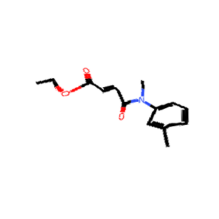 CCOC(=O)/C=C/C(=O)N(C)c1cccc(C)c1